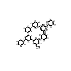 N#Cc1cc(-c2cc(-c3ccccc3)cc(-c3ccccc3)c2)cc(-c2cccc(-c3nc(-c4ccccc4)nc(-c4ccccc4)n3)c2)c1